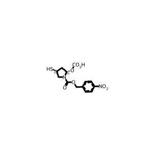 O=C(O)O[C@H]1C[C@H](S)CN1C(=O)OCc1ccc([N+](=O)[O-])cc1